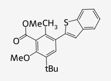 COC(=O)c1c(C)c(-c2cc3ccccc3s2)cc(C(C)(C)C)c1OC